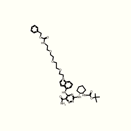 CC(C)(C)OC(=O)N[C@H]1CCCC[C@H]1Nc1nnc(C(N)=O)c(Nc2cccc3c2ccn3CCOCCOCCOCCNC(=O)OCc2ccccc2)n1